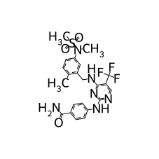 Cc1ccc(N(C)S(C)(=O)=O)cc1CNc1nc(Nc2ccc(C(N)=O)cc2)ncc1C(F)(F)F